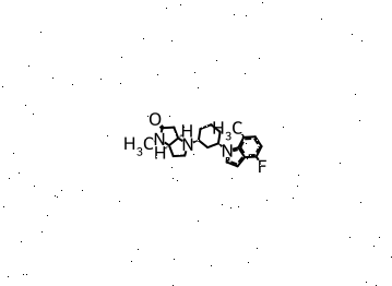 Cc1ccc(F)c2ccn([C@@H]3CCC[C@H](N4CC[C@@H]5[C@H]4CC(=O)N5C)C3)c12